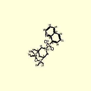 CC12CC(CN(S(=O)(=O)c3cccc4cccnc34)C1)[Si](C)(C)O[Si]2(C)C